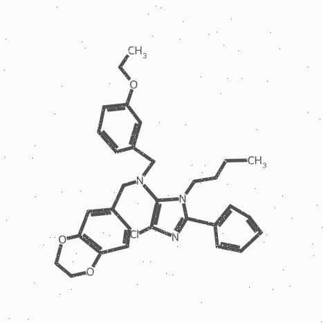 CCCCn1c(-c2ccccc2)nc(Cl)c1N(Cc1cccc(OCC)c1)Cc1ccc2c(c1)OCCO2